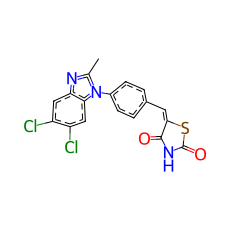 Cc1nc2cc(Cl)c(Cl)cc2n1-c1ccc(C=C2SC(=O)NC2=O)cc1